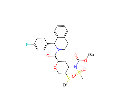 CCS[C@H]1CO[C@@H](C(=O)N2CCc3ccccc3[C@@H]2c2ccc(F)cc2)C[C@@H]1N(C(=O)OC(C)(C)C)S(C)(=O)=O